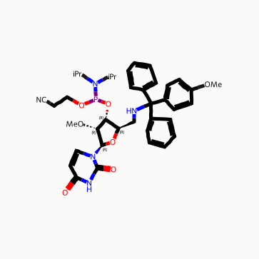 COc1ccc(C(NC[C@H]2O[C@@H](n3ccc(=O)[nH]c3=O)[C@H](OC)[C@@H]2OP(OCCC#N)N(C(C)C)C(C)C)(c2ccccc2)c2ccccc2)cc1